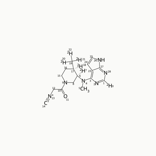 [2H]c1nc(N(C)[C@@]2([2H])CN(C(=O)C[N+]#[C-])CC[C@@]2([2H])C([2H])([2H])[2H])c2cc[nH]c2n1